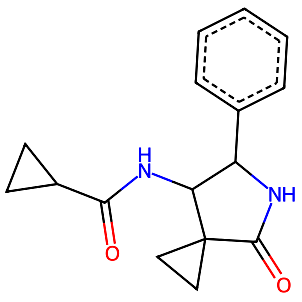 O=C(NC1C(c2ccccc2)NC(=O)C12CC2)C1CC1